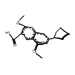 COc1nc2cc(C3CCC3)cc(OC)c2cc1C(=O)O